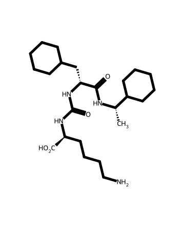 C[C@H](NC(=O)[C@@H](CC1CCCCC1)NC(=O)N[C@@H](CCCCN)C(=O)O)C1CCCCC1